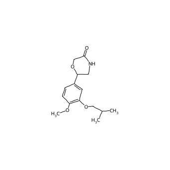 COc1ccc(C2CNC(=O)CO2)cc1OCC(C)C